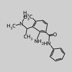 Cc1ccc(C(=O)Nc2ccccc2)c(N)c1C(C)N(C)C